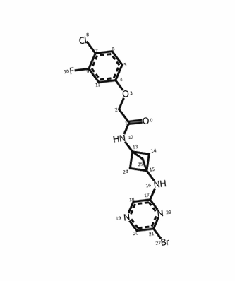 O=C(COc1ccc(Cl)c(F)c1)NC12CC(Nc3cncc(Br)n3)(C1)C2